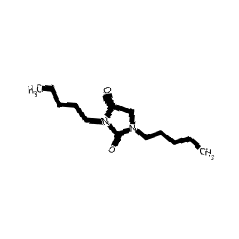 CCCCCN1CC(=O)N(CCCCC)C1=O